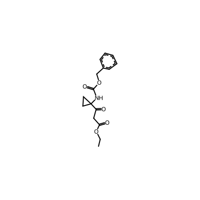 CCOC(=O)CC(=O)C1(NC(=O)OCc2ccccc2)CC1